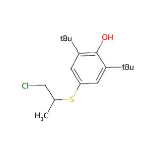 CC(CCl)Sc1cc(C(C)(C)C)c(O)c(C(C)(C)C)c1